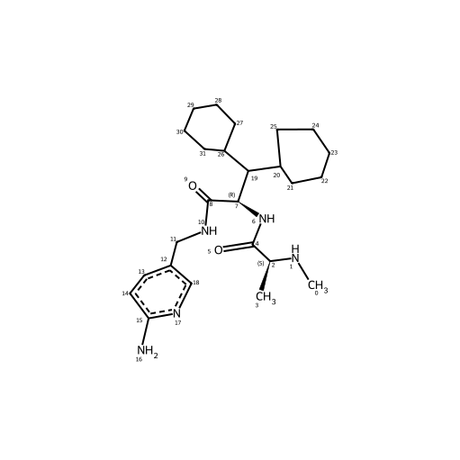 CN[C@@H](C)C(=O)N[C@@H](C(=O)NCc1ccc(N)nc1)C(C1CCCCC1)C1CCCCC1